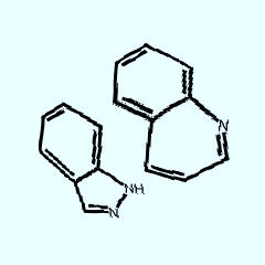 c1ccc2[nH]ncc2c1.c1ccc2ncccc2c1